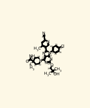 Cc1cc(C#N)ncc1-c1nc2c(N3CCC(C)(C(N)=O)CC3)nc(OCC(C)(C)O)nc2n1-c1ccc(Cl)cc1